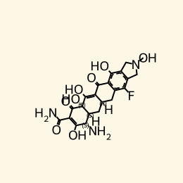 NC(=O)C1=C(O)[C@@H](N)[C@@H]2C[C@@H]3Cc4c(F)c5c(c(O)c4C(=O)C3=C(O)[C@]2(O)C1=O)CN(O)C5